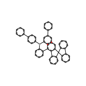 c1ccc(-c2ccc(N(c3cccc(-c4ccccc4)c3)c3ccccc3-c3cccc4c3-c3ccccc3C43c4ccccc4-c4ccccc43)cc2)cc1